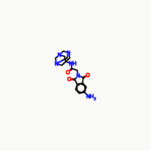 Nc1ccc2c(c1)C(=O)N(CC(=O)NC13CN4CN(CN(C4)C1)C3)C2=O